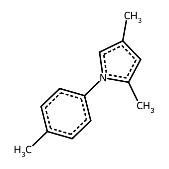 Cc1ccc(-n2cc(C)cc2C)cc1